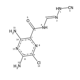 N#CNN=CNC(=O)c1nc(Cl)c(N)nc1N